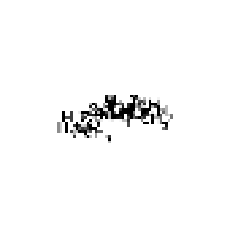 CC(C)(C)OC(=O)NCP(=O)(O)CNC(=O)OC(C)(C)C